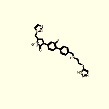 O=C1C(c2ccc(-c3ccc(CNCCSc4cnn[nH]4)cc3)c(F)c2)CC(Cn2ccnn2)[NH+]1[O-]